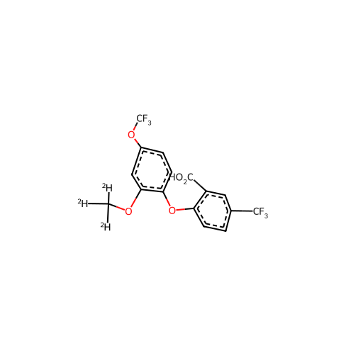 [2H]C([2H])([2H])Oc1cc(OC(F)(F)F)ccc1Oc1ccc(C(F)(F)F)cc1C(=O)O